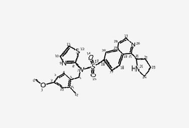 COc1ccc(CN(c2nccs2)S(=O)(=O)c2ccc3c(C4CCCN4)nccc3c2)c(C)c1